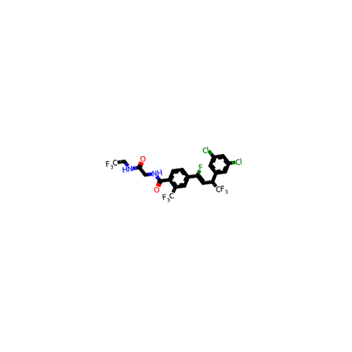 O=C(CNC(=O)c1ccc(C(F)=CC(c2cc(Cl)cc(Cl)c2)C(F)(F)F)cc1C(F)(F)F)NCC(F)(F)F